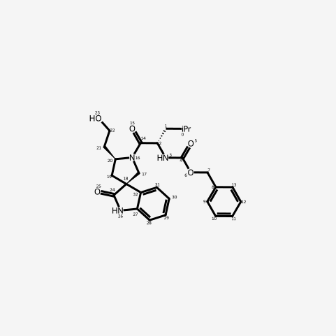 CC(C)C[C@H](NC(=O)OCc1ccccc1)C(=O)N1C[C@]2(C[C@H]1CCO)C(=O)Nc1ccccc12